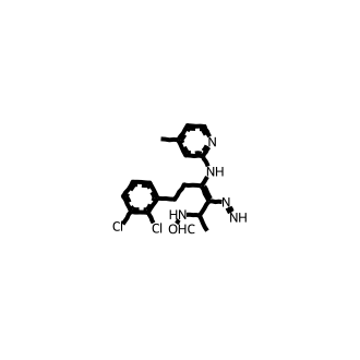 Cc1ccnc(N/C(CCc2cccc(Cl)c2Cl)=C(\N=N)C(C)NC=O)c1